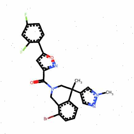 Cn1cc(C2(C)CN(C(=O)c3cc(-c4ccc(F)cc4F)on3)Cc3c(Br)cccc32)cn1